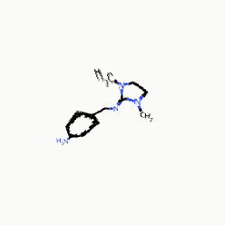 CN1CCN(C)C1=NCc1ccc(N)cc1